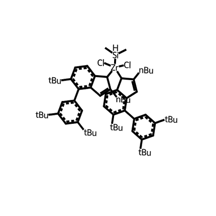 CCCCC1=Cc2c(ccc(C(C)(C)C)c2-c2cc(C(C)(C)C)cc(C(C)(C)C)c2)[CH]1[Zr]([Cl])([Cl])([CH]1C(CCCC)=Cc2c1ccc(C(C)(C)C)c2-c1cc(C(C)(C)C)cc(C(C)(C)C)c1)[SiH](C)C